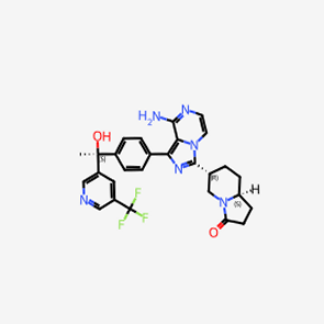 C[C@](O)(c1ccc(-c2nc([C@@H]3CC[C@H]4CCC(=O)N4C3)n3ccnc(N)c23)cc1)c1cncc(C(F)(F)F)c1